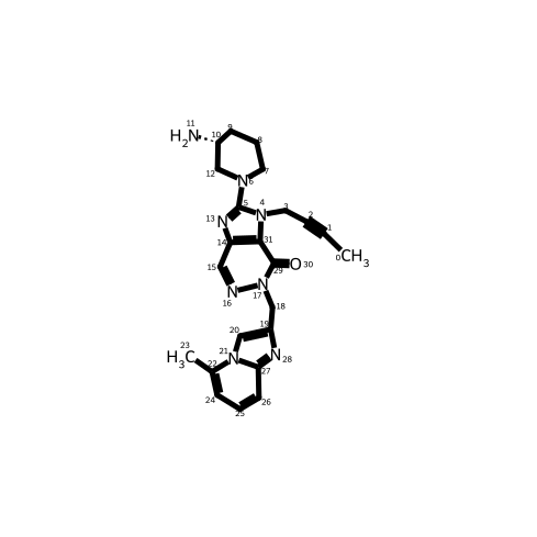 CC#CCn1c(N2CCC[C@@H](N)C2)nc2cnn(Cc3cn4c(C)cccc4n3)c(=O)c21